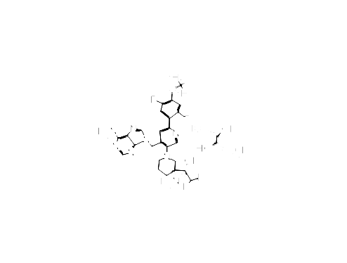 O=C(O)[C@H](O)[C@@H](O)C(=O)O.[2H]C([2H])([2H])Oc1cc(F)c(-c2cc(Cn3cnc4c(N)ncnc43)c(N3CCC[C@](N)([C@H](O)C(F)F)C3)cn2)cc1F